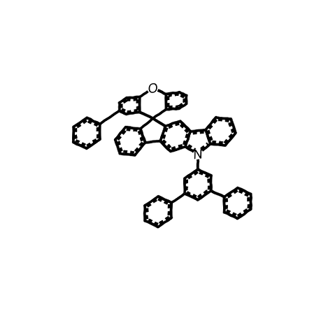 c1ccc(-c2cc(-c3ccccc3)cc(-n3c4ccccc4c4cc5c(cc43)-c3ccccc3C53c4ccccc4Oc4ccc(-c5ccccc5)cc43)c2)cc1